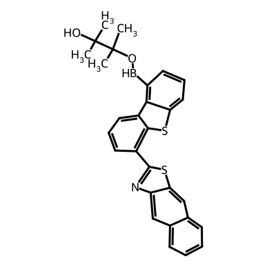 CC(C)(O)C(C)(C)OBc1cccc2sc3c(-c4nc5cc6ccccc6cc5s4)cccc3c12